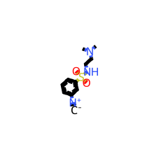 [C-]#[N+]c1cccc(S(=O)(=O)NCCN(C)C)c1